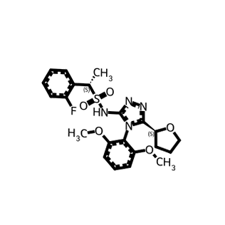 COc1cccc(OC)c1-n1c(NS(=O)(=O)[C@@H](C)c2ccccc2F)nnc1[C@@H]1CCCO1